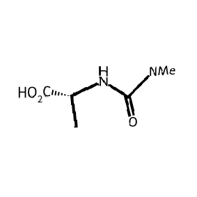 CNC(=O)N[C@H](C)C(=O)O